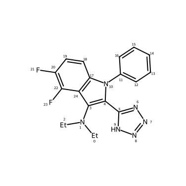 CCN(CC)c1c(-c2nnn[nH]2)n(-c2ccccc2)c2ccc(F)c(F)c12